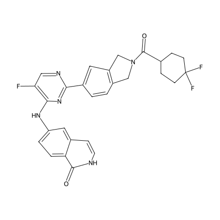 O=C(C1CCC(F)(F)CC1)N1Cc2ccc(-c3ncc(F)c(Nc4ccc5c(=O)[nH]ccc5c4)n3)cc2C1